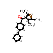 Cc1sc(C)c(C(=O)c2ccc(-c3ccccc3)cc2)c1C(=O)O